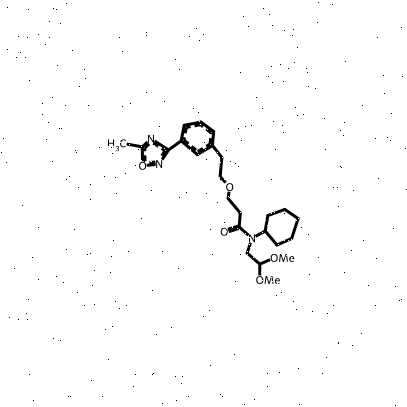 COC(CN(C(=O)CCOCCc1cccc(-c2noc(C)n2)c1)C1CCCCC1)OC